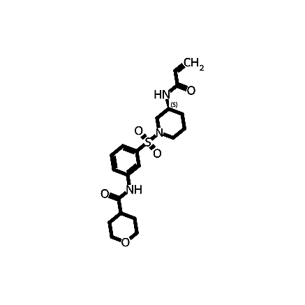 C=CC(=O)N[C@H]1CCCN(S(=O)(=O)c2cccc(NC(=O)C3CCOCC3)c2)C1